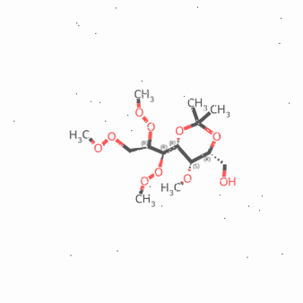 COOC[C@@H](OOC)[C@H](OOC)[C@@H]1OC(C)(C)O[C@H](CO)[C@@H]1OC